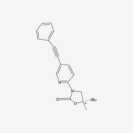 CC(C)(C)[C@@]1(C)CN(c2ccc(C#Cc3ccccc3)cn2)C(=O)O1